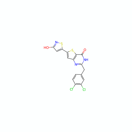 O=c1[nH]c(Cc2ccc(Cl)c(Cl)c2)nc2cc(-c3cc(O)ns3)sc12